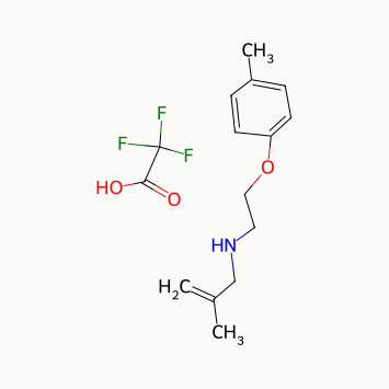 C=C(C)CNCCOc1ccc(C)cc1.O=C(O)C(F)(F)F